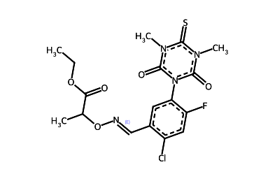 CCOC(=O)C(C)O/N=C/c1cc(-n2c(=O)n(C)c(=S)n(C)c2=O)c(F)cc1Cl